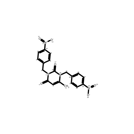 Cc1cc(=O)n(Cc2ccc([N+](=O)[O-])cc2)c(=O)n1Cc1ccc([N+](=O)[O-])cc1